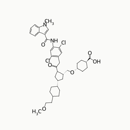 COCCC1CCC([C@@H]2CC(C(=O)Cc3cc(Cl)c(NC(=O)c4cn(C)c5ccccc45)cc3Cl)[C@H](CO[C@H]3CC[C@H](C(=O)O)CC3)C2)CC1